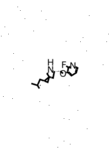 C[C](C)CC1CC12CN[C@H](COc1cccnc1F)C2